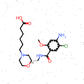 COc1cc(N)c(Cl)cc1C(=O)NC[C@H]1CN(CCCCCC(=O)O)CCO1